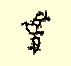 CCN1CCN(c2ccc3cn[nH]c3c2)C(=O)c2cc([N+](=O)[O-])c(N)cc21